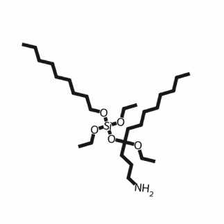 CCCCCCCCCO[Si](OCC)(OCC)OC(CCCN)(CCCCCCCC)OCC